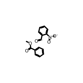 COC(=O)c1ccccc1.O=[C]c1ccccc1[N+](=O)[O-]